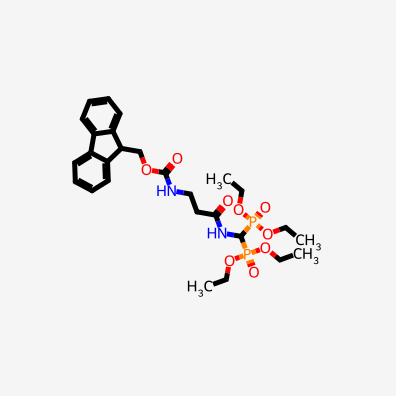 CCOP(=O)(OCC)C(NC(=O)CCNC(=O)OCC1c2ccccc2-c2ccccc21)P(=O)(OCC)OCC